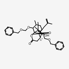 C=C(C)C1=C(C)C2(C)C34OC(=O)C[C@@](C)(C3(OCOCc3ccccc3)CCC(C)C4OCOCc3ccccc3)C2(O)C1=O